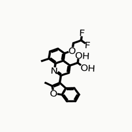 Cc1oc2ccccc2c1-c1cc(C(O)O)c2c(OCC(F)F)ccc(C)c2n1